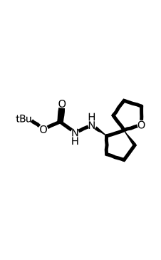 CC(C)(C)OC(=O)NN[C@@H]1CCC[C@]12CCCO2